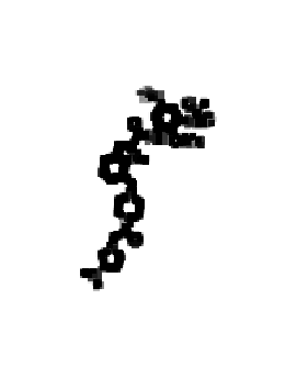 COc1c(NC(=O)c2cc3cccc(CN4CCN(C(=O)CN5CC[C@H](N(C)C)C5)CC4)c3n2C)cc(C(C)(C)C)cc1NS(C)(=O)=O